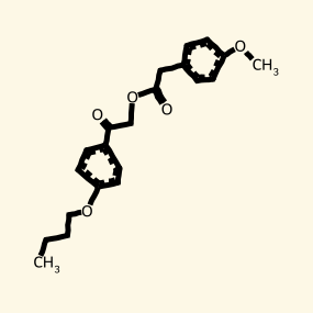 CCCCOc1ccc(C(=O)COC(=O)Cc2ccc(OC)cc2)cc1